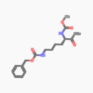 COC(=O)[C@@H](CCCCNC(=O)OCc1ccccc1)NC(=O)OC(C)(C)C